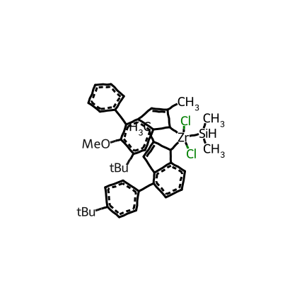 COc1c(C(C)(C)C)cc2c(c1-c1ccccc1)C=C(C)[CH]2[Zr]([Cl])([Cl])([CH]1C(C)=Cc2c(-c3ccc(C(C)(C)C)cc3)cccc21)[SiH](C)C